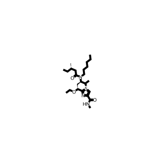 CCCCCCN(C(=O)C[C@@H](C)CC)[C@H](C[C@@H](OCC)c1nc(C(=O)NC)cs1)C(C)C